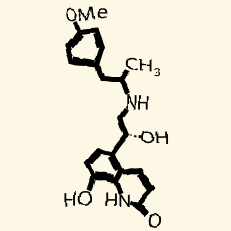 COc1ccc(CC(C)NC[C@H](O)c2ccc(O)c3[nH]c(=O)ccc23)cc1